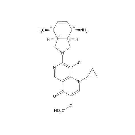 C[C@H]1C=C[C@@H](N)[C@H]2CN(c3ncc4c(=O)c(OC(=O)O)cn(C5CC5)c4c3Cl)C[C@H]21